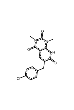 Cn1c(=O)c2cc(Cc3ccc(Cl)cc3)c(=O)[nH]c2n(C)c1=O